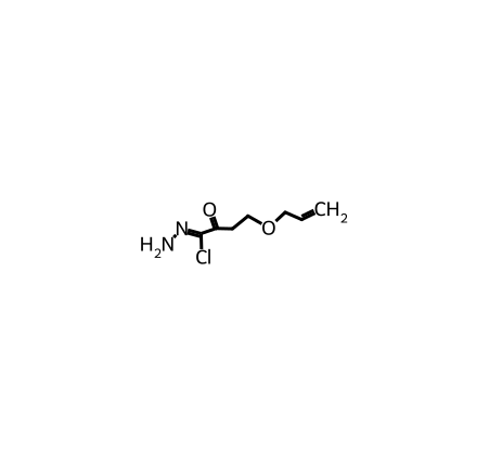 C=CCOCCC(=O)C(Cl)=NN